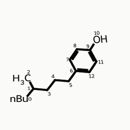 CCCCC(C)CCCc1ccc(O)cc1